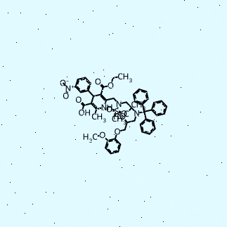 CCOC(=O)C1=C(CN(CC(C)(C)N(CC(O)COc2ccccc2OC)C(c2ccccc2)(c2ccccc2)c2ccccc2)S(C)(=O)=O)NC(C)=C(C(=O)O)C1c1cccc([N+](=O)[O-])c1